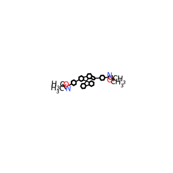 CC1(C)CN=C(c2ccc(-c3ccc4c(c3)C3(c5ccccc5-c5ccccc53)c3c-4ccc4cc(-c5ccc(C6=NCC(C)(C)O6)cc5)ccc34)cc2)O1